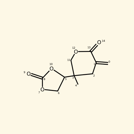 C=C1CC(C)(C2COC(=O)O2)COC1=O